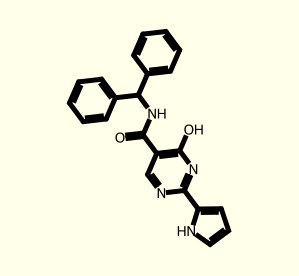 O=C(NC(c1ccccc1)c1ccccc1)c1cnc(-c2ccc[nH]2)nc1O